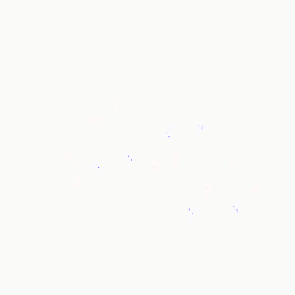 CCOC(=O)N1CCN(C(=O)C(CCC(=O)O)NC(=O)c2cc(OCC(=O)N3CCCC3C(=O)NC3CC3)c3ccc(F)cc3n2)CC1